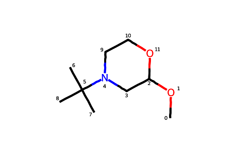 COC1CN(C(C)(C)C)CCO1